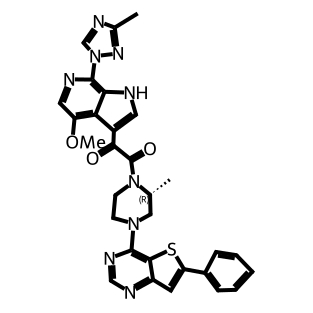 COc1cnc(-n2cnc(C)n2)c2[nH]cc(C(=O)C(=O)N3CCN(c4ncnc5cc(-c6ccccc6)sc45)C[C@H]3C)c12